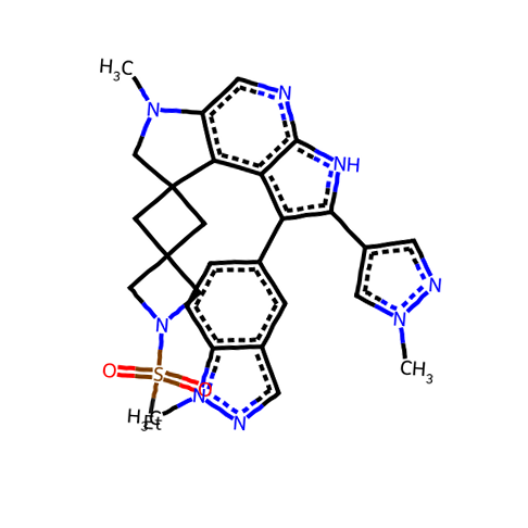 CCS(=O)(=O)N1CC2(C1)CC1(CN(C)c3cnc4[nH]c(-c5cnn(C)c5)c(-c5ccc6c(cnn6C)c5)c4c31)C2